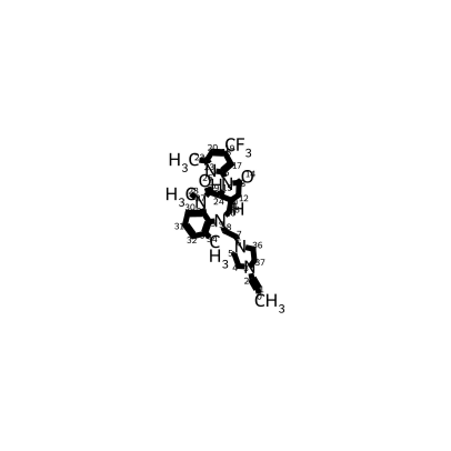 CC#CN1CCN(CCN2C[C@H]3CC(=O)N(c4cc(C(F)(F)F)cc(C)n4)[C@@H]3C(=O)N(C)c3cccc(C)c32)CC1